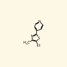 CCc1sc(-c2ccncc2)nc1C